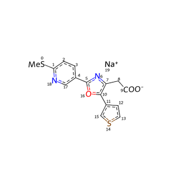 CSc1ccc(-c2nc(CC(=O)[O-])c(-c3ccsc3)o2)cn1.[Na+]